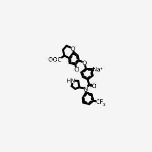 O=C([O-])C1CCOc2cc(Oc3ccc(C(=O)N(c4cccc(C(F)(F)F)c4)C4CCNC4)cc3)c(Cl)cc21.[Na+]